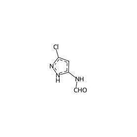 O=CNc1cc(Cl)n[nH]1